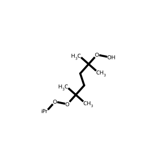 CC(C)OOC(C)(C)CCC(C)(C)OO